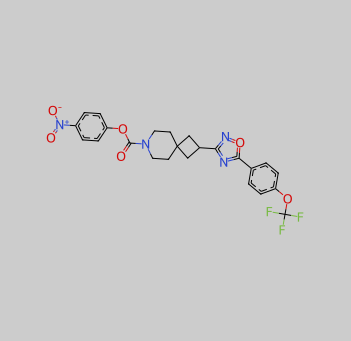 O=C(Oc1ccc([N+](=O)[O-])cc1)N1CCC2(CC1)CC(c1noc(-c3ccc(OC(F)(F)F)cc3)n1)C2